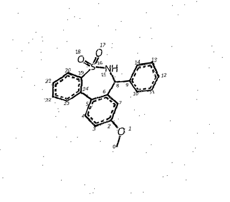 COc1ccc2c(c1)C(c1ccccc1)NS(=O)(=O)c1ccccc1-2